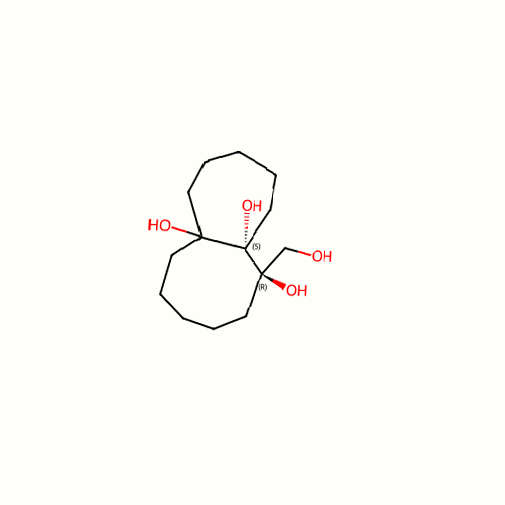 OC[C@]1(O)CCCCCC2(O)CCCCC[C@]21O